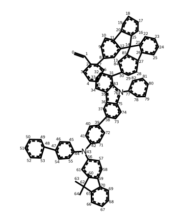 C=Cc1ccccc1-c1ccc2c(c1)C1(c3ccccc3-2)c2ccccc2-c2ccc(-c3cccc4c5cc(-c6ccc(N(c7ccc(-c8ccccc8)cc7)c7ccc8c(c7)C(C)(C)c7ccccc7-8)cc6)ccc5n(-c5ccccc5)c34)cc21